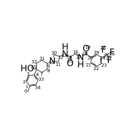 Cc1ccc(C2(O)CCC(N3CC(NC(=O)CNC(=O)c4cccc(C(F)(F)F)c4)C3)CC2)cc1